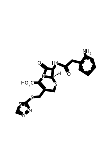 Nc1ccccc1CC(=O)NC1C(=O)N2C(C(=O)O)=C(CSc3nncs3)CS[C@H]12